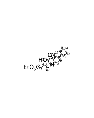 CCOC(=O)CCC(=O)c1nc2ccc(-c3ccccc3C)cc2c(C#N)c1O